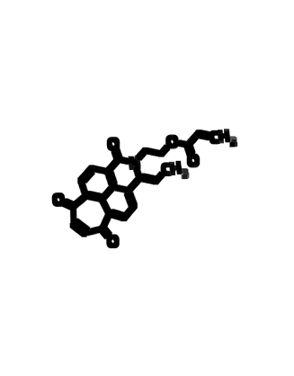 C=CC(=O)OCCn1c(=O)c2ccc3c4c(ccc(c1=CC)c42)C(=O)C#CC3=O